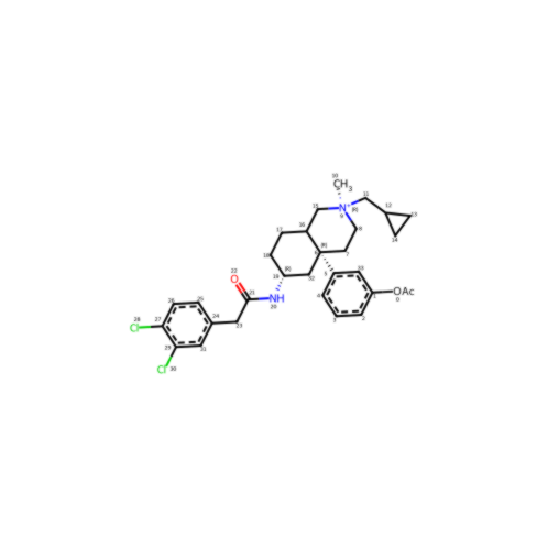 CC(=O)Oc1cccc([C@@]23CC[N@+](C)(CC4CC4)CC2CC[C@@H](NC(=O)Cc2ccc(Cl)c(Cl)c2)C3)c1